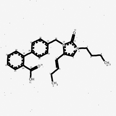 CC/C=C/c1cn(CCCC)c(=O)n1Cc1ccc(-c2ccccc2C(=O)O)cc1